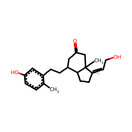 Cc1ccc(O)cc1CCC1CC(=O)CC2(C)/C(=C\CO)CCC12